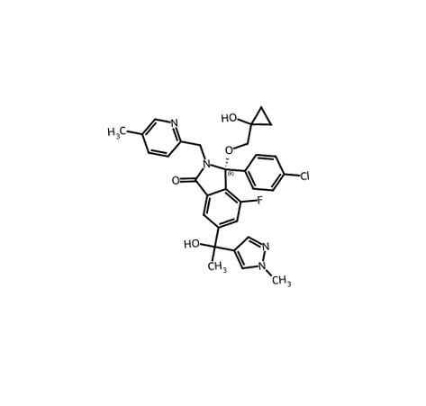 Cc1ccc(CN2C(=O)c3cc(C(C)(O)c4cnn(C)c4)cc(F)c3[C@]2(OCC2(O)CC2)c2ccc(Cl)cc2)nc1